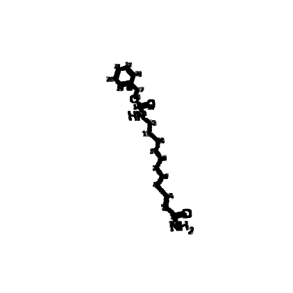 NC(=O)CCCCCCCCCCNC(=O)OCc1ccccc1